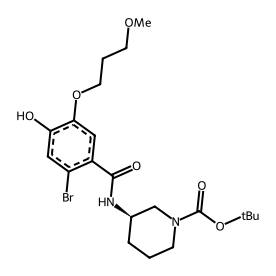 COCCCOc1cc(C(=O)N[C@@H]2CCCN(C(=O)OC(C)(C)C)C2)c(Br)cc1O